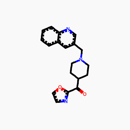 O=C(c1ncco1)C1CCN(Cc2cnc3ccccc3c2)CC1